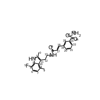 Cc1[nH]c2c(F)ccc(C)c2c1CCNC(=O)/C=C/c1cccc(S(N)(=O)=O)c1